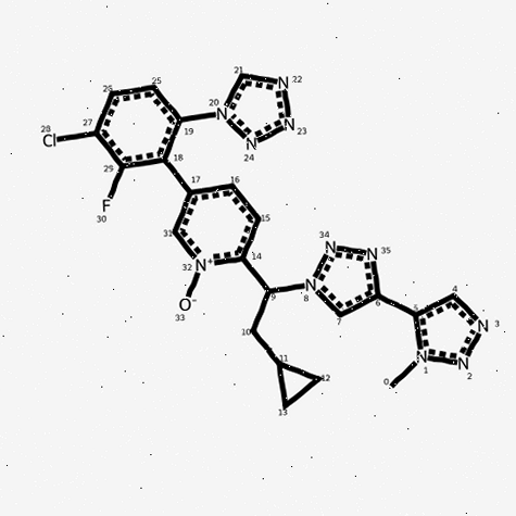 Cn1nncc1-c1cn(C(CC2CC2)c2ccc(-c3c(-n4cnnn4)ccc(Cl)c3F)c[n+]2[O-])nn1